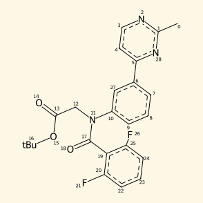 Cc1nccc(-c2cccc(N(CC(=O)OC(C)(C)C)C(=O)c3c(F)cccc3F)c2)n1